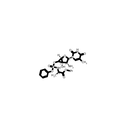 Cc1cn([C@@H]2O[C@@H]3C(OP(=O)(N[C@H](C)C(=O)OC(C)C)Oc4ccccc4)[C@]3(O)[C@H]2N)c(=O)[nH]c1=O